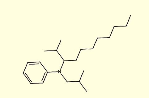 CCCCCCCCC(C(C)C)N(CC(C)C)c1ccccc1